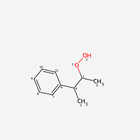 CC(OO)C(C)c1ccccc1